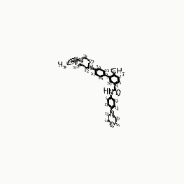 Cc1ccc(C(=O)Nc2ccc(N3CCOCC3)cc2)cc1-c1ccc(N2CCN(C)CC2)cc1